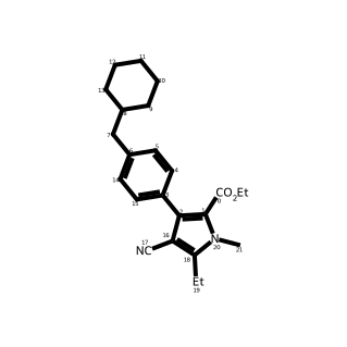 CCOC(=O)c1c(-c2ccc(CC3CCCCC3)cc2)c(C#N)c(CC)n1C